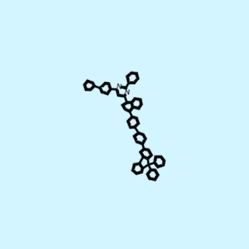 c1ccc(-c2ccc(-c3cc(-c4ccc(-c5ccc(-c6ccc(-c7ccc8c(c7)-c7ccccc7C8(c7ccccc7)c7ccccc7)cc6)cc5)c5ccccc45)nc(-c4ccccc4)n3)cc2)cc1